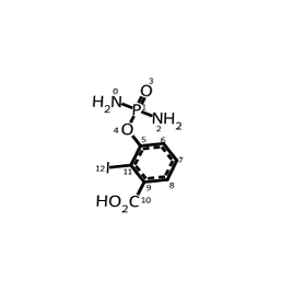 NP(N)(=O)Oc1cccc(C(=O)O)c1I